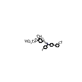 Cc1cc(SC/C=C(\c2ccc(F)cc2)c2ccc(-c3cccc(Cl)c3)cc2)ccc1OCC(=O)O